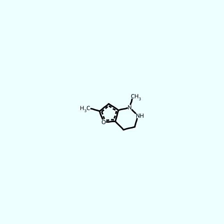 Cc1cc2c(o1)CCNN2C